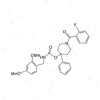 COc1ccc(CNC(=O)OC2(c3ccccc3)CCN(C(=O)c3ccccc3F)CC2)c(OC)c1